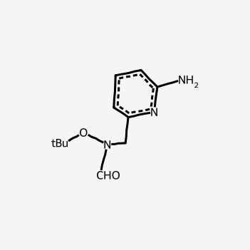 CC(C)(C)ON(C=O)Cc1cccc(N)n1